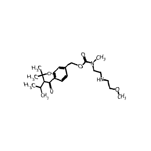 COCCNCCN(C)C(=O)OCc1ccc(C(=O)C(C(C)C)C(C)(C)C)cc1